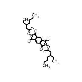 CCCCC(CC)CC(=O)On1c(=O)c2cc3c(=O)n(OC(=O)CC(CC)CCCC)c(=O)c3cc2c1=O